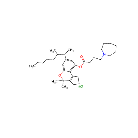 CCCCCC(C)C(C)c1cc(OC(=O)CCCN2CCCCCC2)c2c(c1)OC(C)(C)C1=C2CCC1.Cl